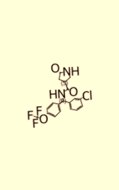 O=C1C[C@H](C(=O)N[C@H](c2ccc(OC(F)(F)F)cc2)c2cccc(Cl)c2)CN1